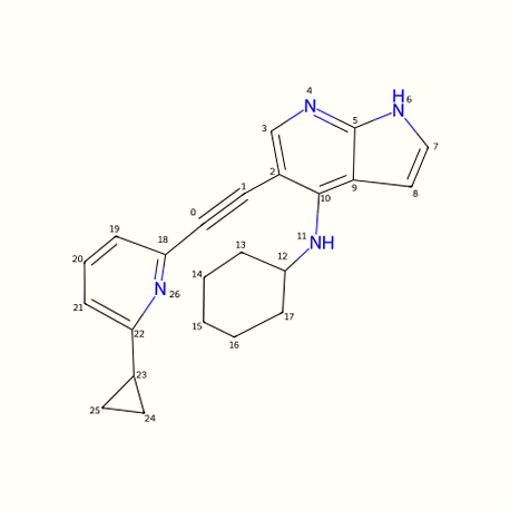 C(#Cc1cnc2[nH]ccc2c1NC1CCCCC1)c1cccc(C2CC2)n1